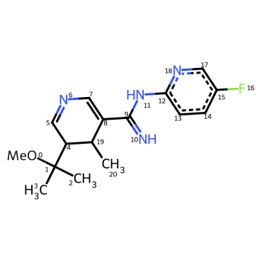 COC(C)(C)C1C=NC=C(C(=N)Nc2ccc(F)cn2)C1C